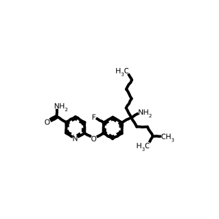 CCCCCC(N)(CCC(C)C)c1ccc(Oc2ccc(C(N)=O)cn2)c(F)c1